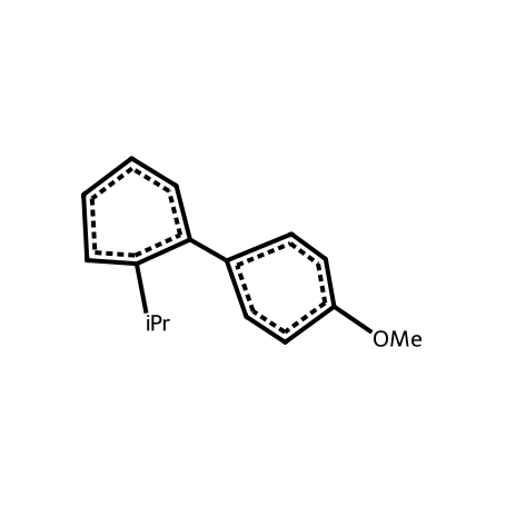 COc1ccc(-c2ccccc2C(C)C)cc1